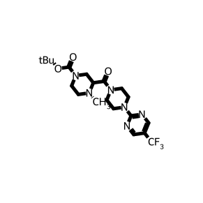 CN1CCN(C(=O)OC(C)(C)C)CC1C(=O)N1CCN(c2ncc(C(F)(F)F)cn2)CC1